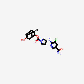 NC(=O)c1cnc(N[C@@H]2CCN(C(=O)OC3C4CC5C[C@H]3C[C@@](O)(C5)C4)C2)c(Cl)c1